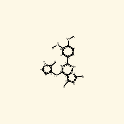 COc1ccc(-c2nc(Sc3ccoc3C)c3c(C)nc(C)n3n2)cc1OC